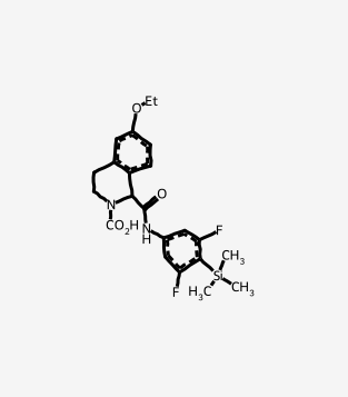 CCOc1ccc2c(c1)CCN(C(=O)O)C2C(=O)Nc1cc(F)c([Si](C)(C)C)c(F)c1